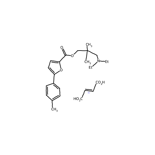 CCN(CC)CC(C)(C)COC(=O)c1ccc(-c2ccc(C)cc2)o1.O=C(O)/C=C/C(=O)O